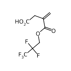 C=C(CC(=O)O)C(=O)OCC(F)(F)C(F)(F)F